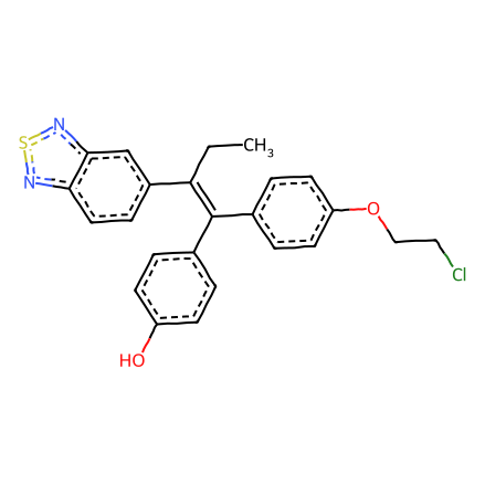 CC/C(=C(/c1ccc(O)cc1)c1ccc(OCCCl)cc1)c1ccc2nsnc2c1